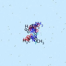 CC[C@@]1(O)C(=O)OCc2c1cc1n(c2=O)Cc2c-1nc1cc(F)c(C)c3c1c2[C@@H](NCc1c(F)cc(NC(=O)[C@H](CCCNC(N)=O)NC(=O)[C@@H](NC(=O)OCC2c4ccccc4-c4ccccc42)C(C)C)cc1F)CC3